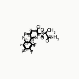 CC(C(N)=O)S(=O)(=O)c1nc(-c2c(F)cc(F)c(F)c2F)c(F)cc1Cl